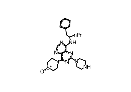 CCCC(Cc1ccccc1)Nc1ncnc2c(N3CC[S+]([O-])CC3)nc(N3CCNCC3)nc12